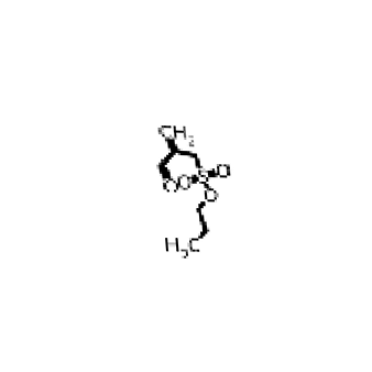 C=C(C=O)CS(=O)(=O)OCCC